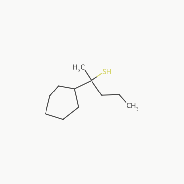 CCCC(C)(S)C1CCCCC1